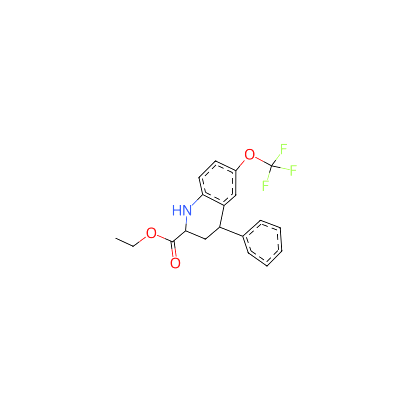 CCOC(=O)C1CC(c2ccccc2)c2cc(OC(F)(F)F)ccc2N1